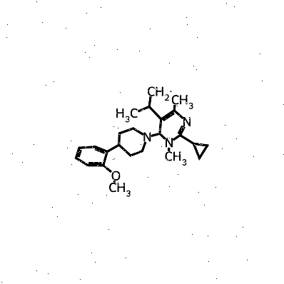 [CH2]C(C)C1=C(C)N=C(C2CC2)N(C)C1N1CCC(c2ccccc2OC)CC1